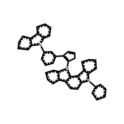 C1=CC(c2cccc(-n3c4ccccc4c4ccccc43)c2)=C(n2c3ccccc3c3ccc4c(c5ccccc5n4-c4ccccc4)c32)C1